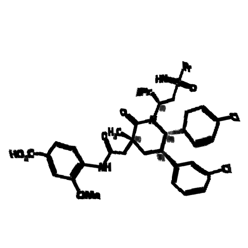 COc1cc(C(=O)O)ccc1NC(=O)C[C@@]1(C)C[C@H](c2cccc(Cl)c2)[C@@H](C2C=CC(Cl)=CC2)N([C@H](CS(=N)(=O)C(C)C)C(C)C)C1=O